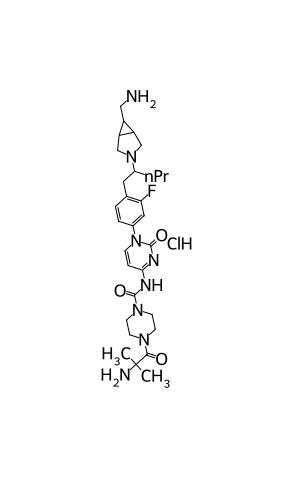 CCCC(Cc1ccc(-n2ccc(NC(=O)N3CCN(C(=O)C(C)(C)N)CC3)nc2=O)cc1F)N1CC2C(CN)C2C1.Cl